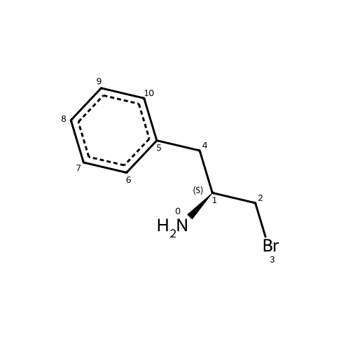 N[C@H](CBr)Cc1ccccc1